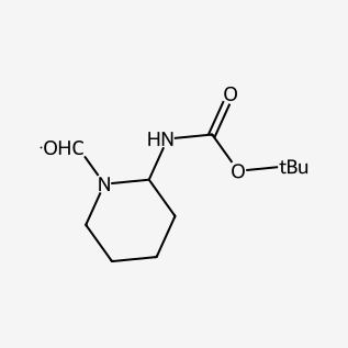 CC(C)(C)OC(=O)NC1CCCCN1[C]=O